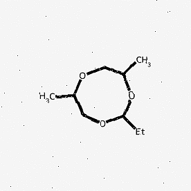 CCC1OCC(C)OCC(C)O1